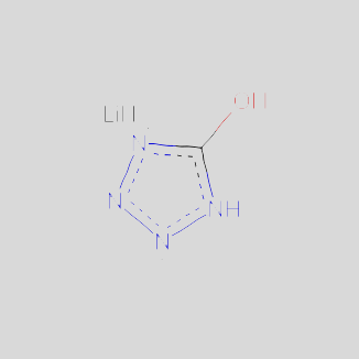 Oc1nnn[nH]1.[LiH]